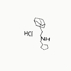 C1CCC(CNCCC23CC4CC(CC(C4)C2)C3)C1.Cl